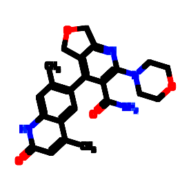 Cc1cc2[nH]c(=O)cc(C)c2cc1-c1c2c(nc(N3CCOCC3)c1C(N)=O)COC2